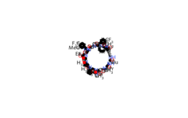 CCC[C@H]1C(=O)N[C@@H]([C@@H](C)CC)C(=O)NCCC[C@@H]2C(=O)N(C)[C@@]23C/C=C\CCN(C3=O)[C@@H](Cc2ccc(C(F)(F)F)cc2)C(=O)N(C)CC(=O)N[C@@H](CCc2ccc(C(F)(F)F)c(OC)c2)C(=O)N2C[C@H](OCC)C[C@H]2C(=O)N(C)C2(CCC2)C(=O)N(C)[C@@H](C2CCCC2)C(=O)N(C)[C@H](C(=O)N(C)C)CC(=O)N1C